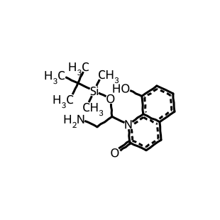 CC(C)(C)[Si](C)(C)OC(CN)n1c(=O)ccc2cccc(O)c21